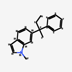 [CH2]CC(C)(c1ccccc1)c1ccc2ccn(C)c2c1